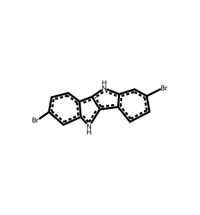 Brc1ccc2c(c1)[nH]c1c3ccc(Br)cc3[nH]c21